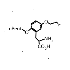 CCCCCOc1ccc(OCCF)cc1CC(N)C(=O)O